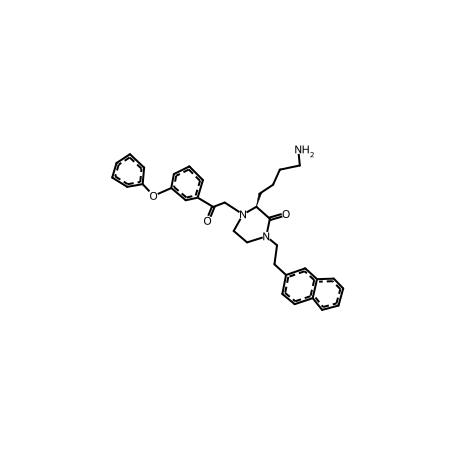 NCCCC[C@H]1C(=O)N(CCc2ccc3ccccc3c2)CCN1CC(=O)c1cccc(Oc2ccccc2)c1